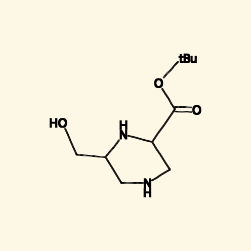 CC(C)(C)OC(=O)C1CNCC(CO)N1